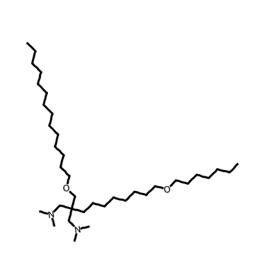 CCCCCCCCCCCCCCOCC(CCCCCCCCOCCCCCCC)(CN(C)C)CN(C)C